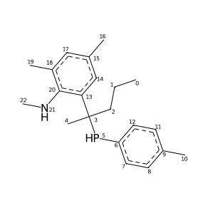 CCCC(C)(Pc1ccc(C)cc1)c1cc(C)cc(C)c1NC